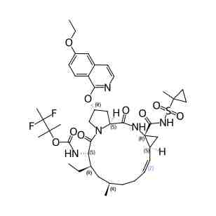 CCOc1ccc2c(O[C@@H]3C[C@H]4C(=O)N[C@]5(C(=O)NS(=O)(=O)C6(C)CC6)C[C@H]5/C=C\CC[C@@H](C)C[C@@H](CC)[C@H](NC(=O)OC(C)(C)C(C)(F)F)C(=O)N4C3)nccc2c1